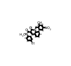 CCc1ccc(N(C)C(=O)c2cc3ccccc3n(Cc3ccc([N+](=O)[O-])cc3C)c2=O)cc1